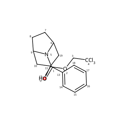 O=C(OCC(Cl)(Cl)Cl)N1C2CCC1CC(O)(c1ccccc1)C2